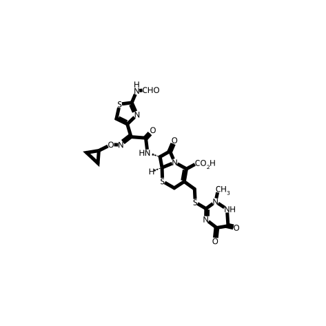 Cn1[nH]c(=O)c(=O)nc1SCC1=C(C(=O)O)N2C(=O)[C@@H](NC(=O)C(=NOC3CC3)c3csc(NC=O)n3)[C@@H]2SC1